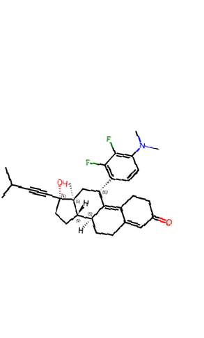 CC(C)C#C[C@]1(O)CC[C@H]2[C@@H]3CCC4=CC(=O)CCC4=C3[C@@H](c3ccc(N(C)C)c(F)c3F)C[C@@]21C